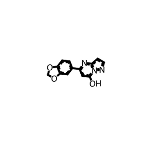 Oc1cc(-c2ccc3c(c2)OCO3)nc2ccnn12